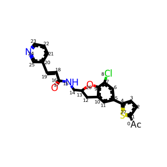 CC(=O)c1ccc(-c2cc(Cl)c3c(c2)CC(CNC(=O)/C=C/c2cccnc2)O3)s1